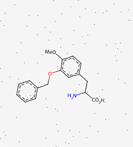 COc1ccc(CC(N)C(=O)O)cc1OCc1ccccc1